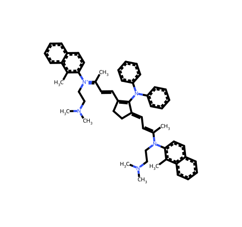 C/C(=C\C=C1/CCC(/C=C/C(C)=[N+](\CCN(C)C)c2ccc3ccccc3c2C)=C1N(c1ccccc1)c1ccccc1)N(CCN(C)C)c1ccc2ccccc2c1C